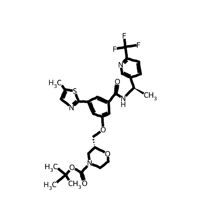 Cc1cnc(-c2cc(OC[C@H]3CN(C(=O)OC(C)(C)C)CCO3)cc(C(=O)N[C@H](C)c3ccc(C(F)(F)F)nc3)c2)s1